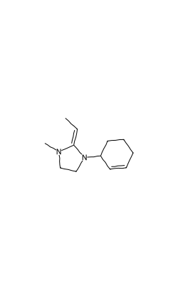 C/C=C1\N(C)CCN1C1C=CCCC1